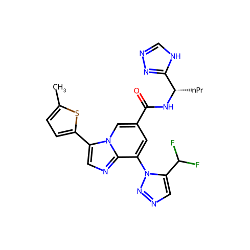 CCC[C@H](NC(=O)c1cc(-n2nncc2C(F)F)c2ncc(-c3ccc(C)s3)n2c1)c1nnc[nH]1